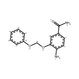 NC(=O)c1ccc(N)c(OCOc2ccccc2)c1